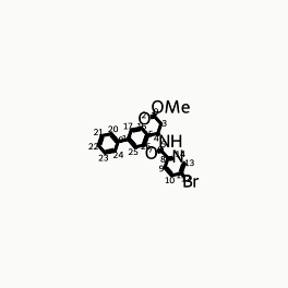 COC(=O)CC(NC(=O)c1ccc(Br)cn1)c1ccc(-c2ccccc2)cc1